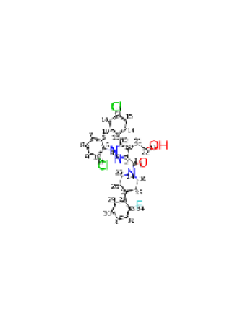 O=C(c1nn(-c2ccccc2Cl)c(-c2ccc(Cl)cc2)c1CCO)N1CCC(c2ccccc2F)CC1